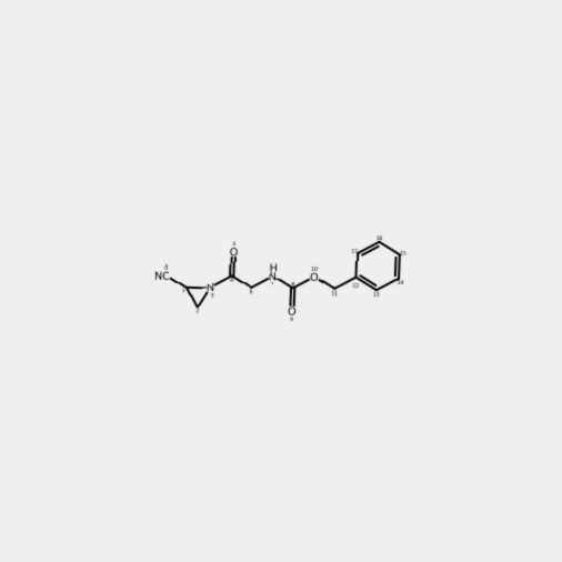 N#CC1CN1C(=O)CNC(=O)OCc1ccccc1